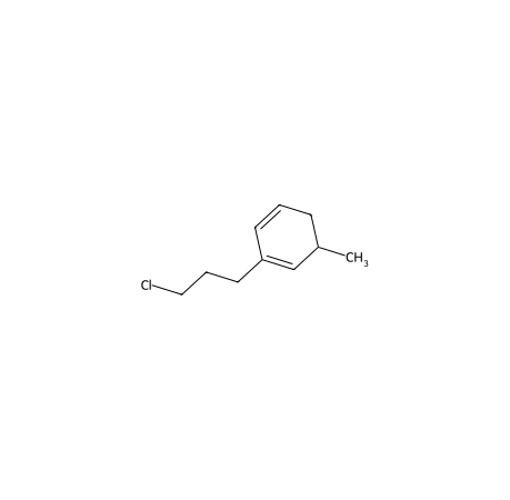 CC1C=C(CCCCl)C=CC1